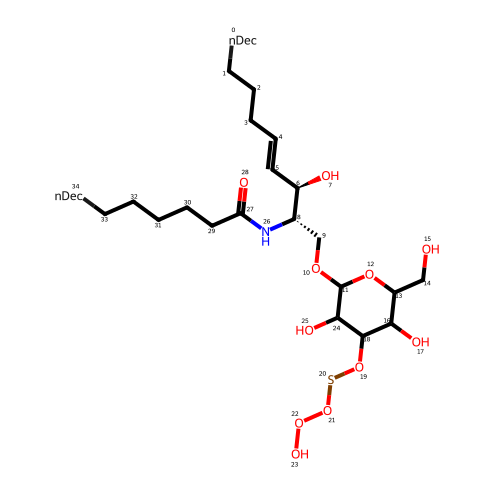 CCCCCCCCCCCCC/C=C/[C@@H](O)[C@H](COC1OC(CO)C(O)C(OSOOO)C1O)NC(=O)CCCCCCCCCCCCCCC